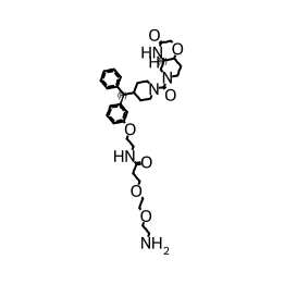 NCCOCCOCCC(=O)NCCOc1cccc([C@@H](c2ccccc2)C2CCN(C(=O)N3CCC4OCC(=O)N[C@@H]4C3)CC2)c1